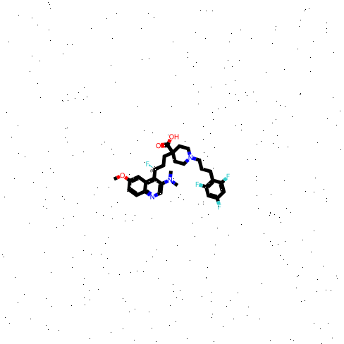 COc1ccc2ncc(N(C)C)c([C@H](F)CCC3(C(=O)O)CCN(CCCc4c(F)cc(F)cc4F)CC3)c2c1